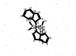 C[SiH](C)[Hf]([CH]1C=Cc2ccccc21)([CH]1C=Cc2ccccc21)[SiH](C)C